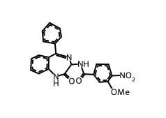 COc1cc(C(=O)NC2N=C(c3ccccc3)c3ccccc3NC2=O)ccc1[N+](=O)[O-]